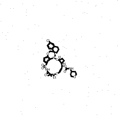 CCN1CC=C[C@H](OC(=O)NC2CCOCC2)[C@@H]2CC[C@H]2CN2C[C@@]3(CCCc4cc(Cl)ccc43)COc3ccc(cc32)S(=O)(=O)NC(=O)C1(C)C